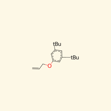 C=CCOc1cc(C(C)(C)C)cc(C(C)(C)C)c1